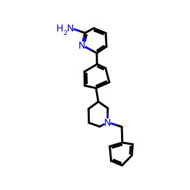 Nc1cccc(-c2ccc(C3CCCN(Cc4ccccc4)C3)cc2)n1